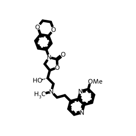 COc1ccc2nccc(CCN(C)C[C@H](O)C3CN(c4ccc5c(c4)OCCO5)C(=O)O3)c2n1